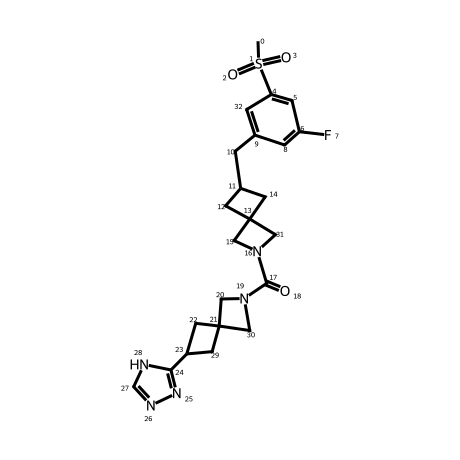 CS(=O)(=O)c1cc(F)cc(CC2CC3(C2)CN(C(=O)N2CC4(CC(c5nnc[nH]5)C4)C2)C3)c1